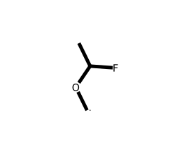 [CH2]OC(C)F